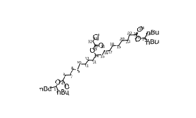 CCCCC(CCCC)OC(=O)CCCCCCCCC(CCCCCCCCC(=O)OC(CCCC)CCCC)OC(=O)CCl